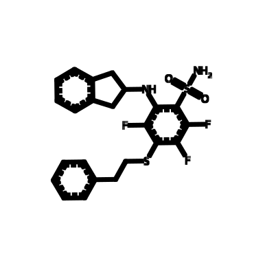 NS(=O)(=O)c1c(F)c(F)c(SCCc2ccccc2)c(F)c1NC1Cc2ccccc2C1